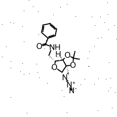 CC1(C)O[C@@H]2[C@@H](CNC(=O)c3ccccc3)OC[C@]2(CN=[N+]=[N-])O1